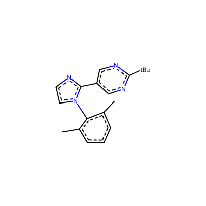 Cc1cccc(C)c1-n1ccnc1-c1cnc(C(C)(C)C)nc1